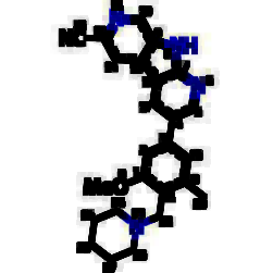 COc1cc(-c2cnc3[nH]c4cnc(C#N)cc4c3c2)cc(C)c1CN1CCCCC1